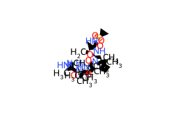 C=C[C@@H]1C[C@]1(NC(=O)[C@@H]1C[C@@]2(CN1C(=O)[C@@H](NC(=O)[C@@H](NC(=O)c1c(C)n[nH]c1C)C(C)(C)C)C(C)(C)C)C(C)(C)C21CCC1)C(=O)NS(=O)(=O)C1CC1